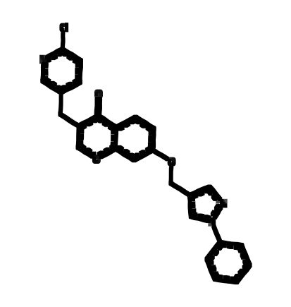 O=c1c(Cc2ccc(Cl)nc2)coc2cc(OCc3cnn(-c4ccccc4)c3)ccc12